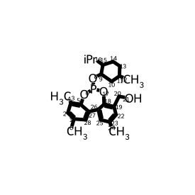 Cc1cc(C)c2op(OC3CC(C)CCC3C(C)C)oc3c(CO)cc(C)cc3c2c1